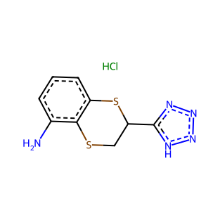 Cl.Nc1cccc2c1SCC(c1nnn[nH]1)S2